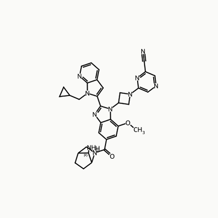 COc1cc(C(=O)N2CC3CCC2[C@@H]3N)cc2nc(-c3cc4cccnc4n3CC3CC3)n(C3CN(c4cncc(C#N)n4)C3)c12